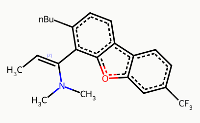 C/C=C(/c1c(CCCC)ccc2c1oc1cc(C(F)(F)F)ccc12)N(C)C